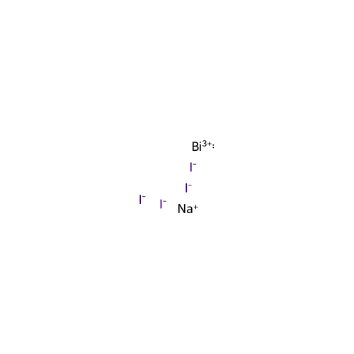 [Bi+3].[I-].[I-].[I-].[I-].[Na+]